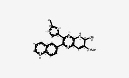 COC1=Cc2nc(-c3ccc4ncccc4c3)c(-c3cnc(C)s3)nc2NC1O